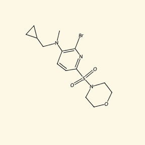 CN(CC1CC1)c1ccc(S(=O)(=O)N2CCOCC2)nc1Br